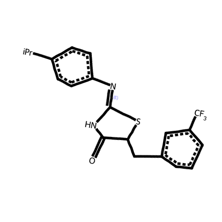 CC(C)c1ccc(/N=C2\NC(=O)C(Cc3cccc(C(F)(F)F)c3)S2)cc1